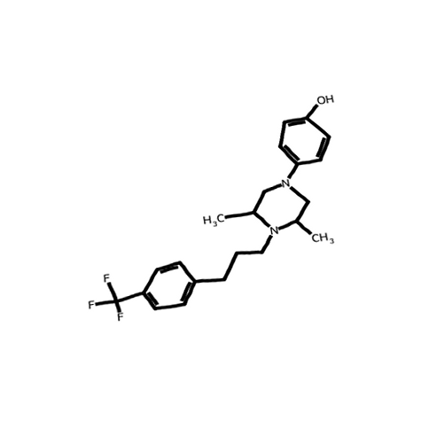 CC1CN(c2ccc(O)cc2)CC(C)N1CCCc1ccc(C(F)(F)F)cc1